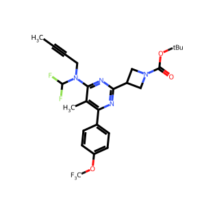 CC#CCN(c1nc(C2CN(C(=O)OC(C)(C)C)C2)nc(-c2ccc(OC(F)(F)F)cc2)c1C)C(F)F